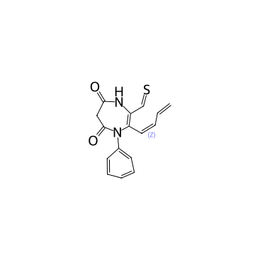 C=C/C=C\C1=C(C=S)NC(=O)CC(=O)N1c1ccccc1